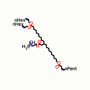 CCCCC/C=C\CC(=O)OCCCCCCCCCCC(CCCCCCCCCC(OC/C=C\CCCCCC)OC/C=C\CCCCCC)CC(=O)OCCN(C)C